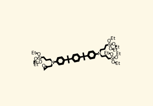 CCO[Si](CCCN(CCC[Si](OCC)(OCC)OCC)c1ccc(C(C)(C)c2ccc(C(C)(C)c3ccc(N(CCC[Si](OCC)(OCC)OCC)CC4CO4)cc3)cc2)cc1)(OCC)OCC